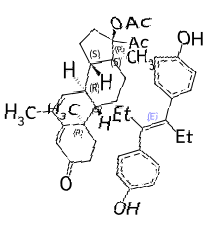 CC(=O)O[C@]1(C(C)=O)CC[C@H]2[C@@H]3C=C(C)C4=CC(=O)CC[C@]4(C)[C@H]3CC[C@@]21C.CC/C(=C(/CC)c1ccc(O)cc1)c1ccc(O)cc1